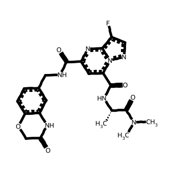 C[C@H](NC(=O)c1cc(C(=O)NCc2ccc3c(c2)NC(=O)CO3)nc2c(F)cnn12)C(=O)N(C)C